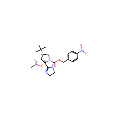 C[SiH](C)O[C@]1(C2=NCCN2)C[C@H](C(C)(C)C)CN1C(=O)OCc1ccc([N+](=O)[O-])cc1